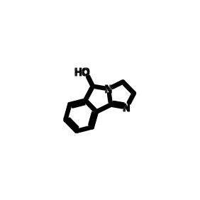 OC1c2ccccc2C2=NCCN21